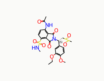 CCOc1cc([C@@H](CS(C)(=O)=O)N2C(=O)c3c(NC(C)=O)ccc(S(=O)(=O)NC)c3C2=O)ccc1OC